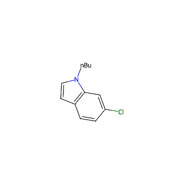 CCCCn1ccc2ccc(Cl)cc21